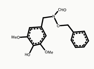 COc1cc(CN(C=O)OCc2ccccc2)cc(OC)c1O